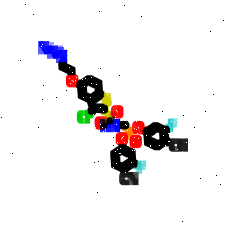 N#Cc1ccc(OP(=O)(CNS(=O)(=O)c2sc3ccc(OCCN=[N+]=[N-])cc3c2Cl)Oc2ccc(C#N)c(F)c2)cc1F